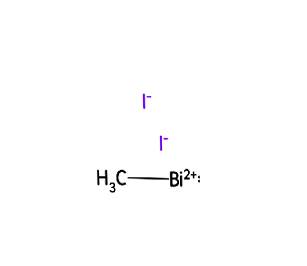 [CH3][Bi+2].[I-].[I-]